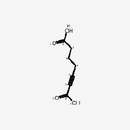 O=C(O)C#CCCCC(=O)O